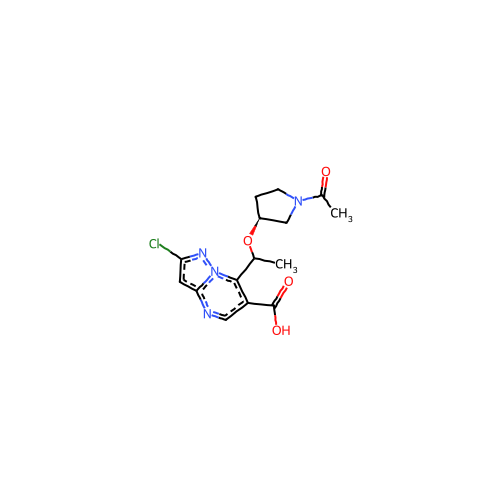 CC(=O)N1CC[C@H](OC(C)c2c(C(=O)O)cnc3cc(Cl)nn23)C1